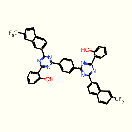 Oc1ccccc1-c1nc(-c2ccc(-c3nc(-c4ccc5ccc(C(F)(F)F)cc5c4)nc(-c4ccccc4O)n3)cc2)nc(-c2ccc3ccc(C(F)(F)F)cc3c2)n1